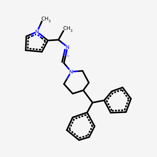 CC(/N=C/N1CCC(C(c2ccccc2)c2ccccc2)CC1)c1cccn1C